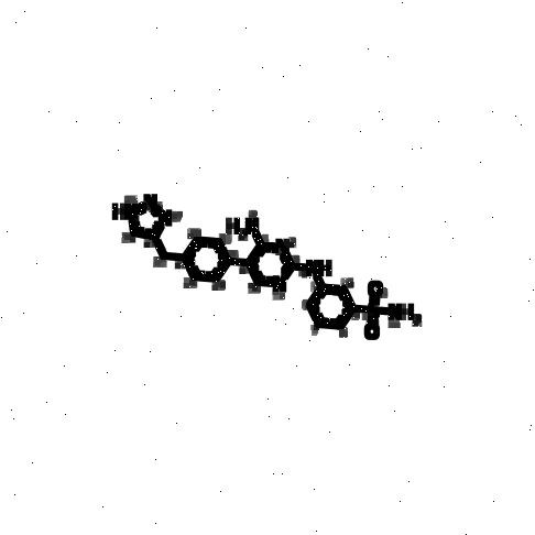 Nc1nc(Nc2cccc(S(N)(=O)=O)c2)ncc1-c1ccc(Cc2c[nH]nn2)cc1